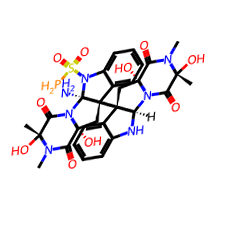 CN1C(=O)[C@]2(O)C[C@]3([C@]45C[C@@]6(O)C(=O)N(C)[C@](C)(O)C(=O)N6[C@@]4(N)N(S(=O)(=O)P)c4ccccc45)c4ccccc4N[C@@H]3N2C(=O)[C@@]1(C)O